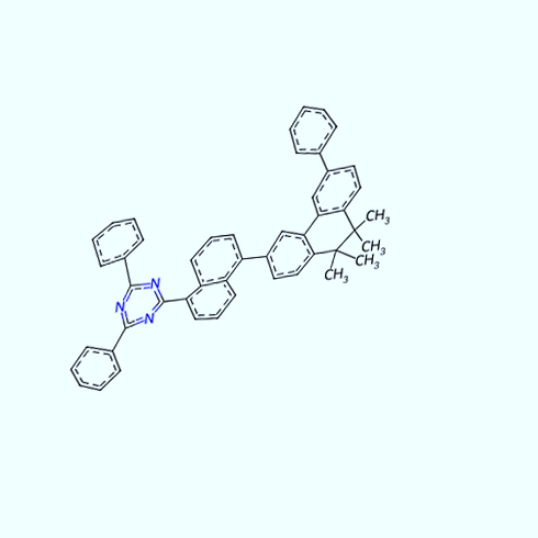 CC1(C)c2ccc(-c3ccccc3)cc2-c2cc(-c3cccc4c(-c5nc(-c6ccccc6)nc(-c6ccccc6)n5)cccc34)ccc2C1(C)C